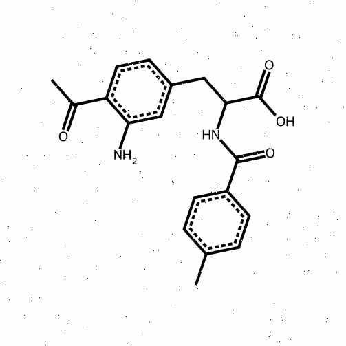 CC(=O)c1ccc(CC(NC(=O)c2ccc(C)cc2)C(=O)O)cc1N